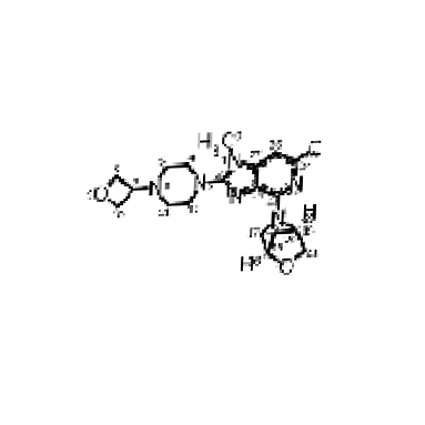 Cn1c(N2CCN(C3COC3)CC2)nc2c(N3C[C@H]4C[C@@H]3CO4)nc(Cl)cc21